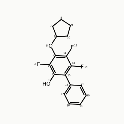 Oc1c(F)c(OC2CCCC2)c(F)c(F)c1-c1ccccc1